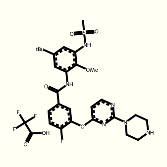 COc1c(NC(=O)c2ccc(F)c(Oc3ccnc(N4CCNCC4)n3)c2)cc(C(C)(C)C)cc1NS(C)(=O)=O.O=C(O)C(F)(F)F